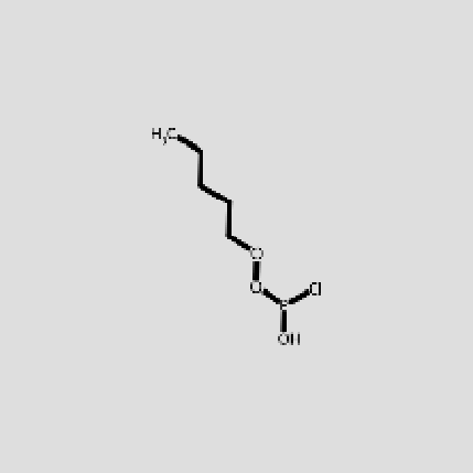 CCCCCOOP(O)Cl